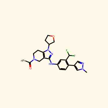 CCCC(=O)N1CCc2c(c(Nc3ccc(-c4cnn(C)c4)c(C(F)F)c3)nn2C2CCOC2)C1